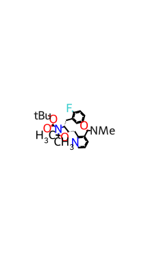 CNC(=O)c1cccnc1C[C@@H]1OC(C)(C)N(C(=O)OC(C)(C)C)[C@@H]1Cc1ccccc1F